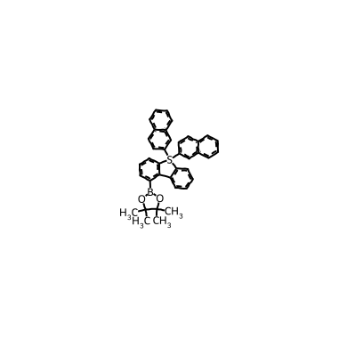 CC1(C)OB(c2cccc3c2-c2ccccc2S3(c2ccc3ccccc3c2)c2ccc3ccccc3c2)OC1(C)C